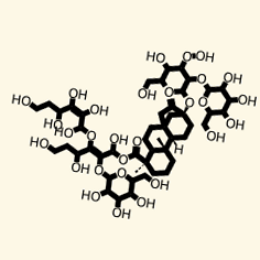 C=C1CC23CCC4[C@](C)(C(=O)OC(O)/C(OC5OC(CO)C(O)C(O)C5O)=C(\OC(O)/C(O)=C(/O)C(O)CCO)C(O)CCO)CCC[C@@]4(C)[C@@H]2CC[C@]1(OC1OC(CO)C(O)C(OO)C1OC1OC(CO)C(O)C(O)C1O)C3